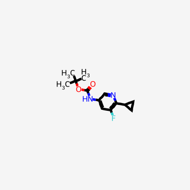 CC(C)(C)OC(=O)Nc1cnc(C2CC2)c(F)c1